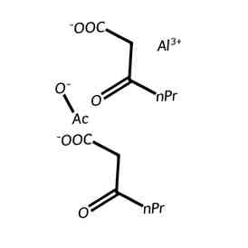 CC(=O)[O-].CCCC(=O)CC(=O)[O-].CCCC(=O)CC(=O)[O-].[Al+3]